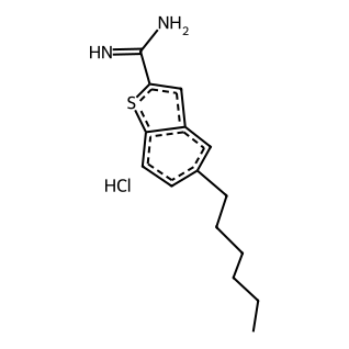 CCCCCCc1ccc2sc(C(=N)N)cc2c1.Cl